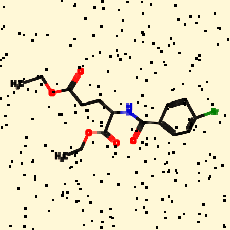 CCOC(=O)CCC(NC(=O)c1ccc(Br)cc1)C(=O)OCC